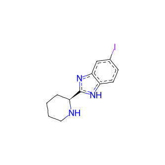 Ic1ccc2[nH]c([C@@H]3CCCCN3)nc2c1